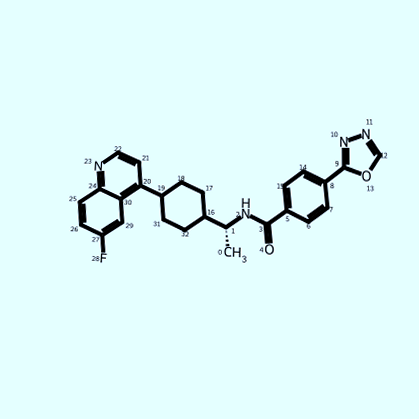 C[C@@H](NC(=O)c1ccc(-c2nnco2)cc1)C1CCC(c2ccnc3ccc(F)cc23)CC1